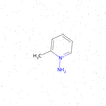 Cc1c[c]cc[n+]1N